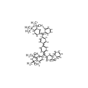 CC1(C)CC(C)(C)c2cc(N(c3ccccc3)c3ccc(-c4ccc(N(c5ccc6c(c5)C(C)(C)CC6(C)C)c5ccc6oc7ccccc7c6c5)cc4)cc3)ccc21